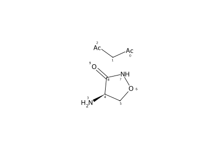 CC(=O)CC(C)=O.N[C@@H]1CONC1=O